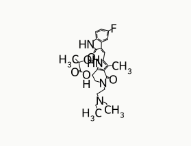 CC(O)C(=O)O.CCN(CC)CCN1CCc2[nH]c(C=C3C(=O)Nc4ccc(F)cc43)c(C)c2C1=O